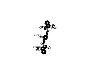 O=C(O)Nc1cc(/C=C/C(=O)N2C[C@@H](CCl)c3c2cc(OP(=O)(O)O)c2ccccc32)ccc1/C=C/C(=O)N1C[C@@H](CCl)c2c1cc(OP(=O)(O)O)c1ccccc21